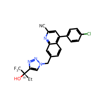 CC[C@](O)(c1cn(Cc2ccc3c(-c4ccc(Cl)cc4)cc(C#N)nc3c2)nn1)C(F)(F)F